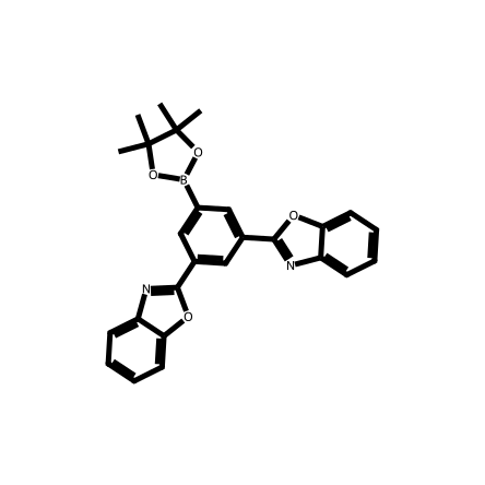 CC1(C)OB(c2cc(-c3nc4ccccc4o3)cc(-c3nc4ccccc4o3)c2)OC1(C)C